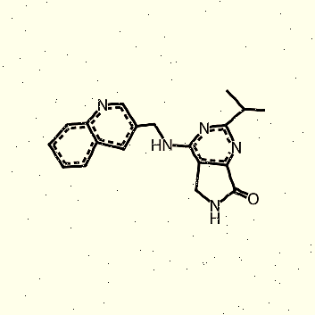 CC(C)c1nc(NCc2cnc3ccccc3c2)c2c(n1)C(=O)NC2